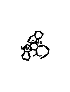 COc1ccc2ccccc2c1-c1cccccsc(C)c1-c1c(OC)ccc2ccccc12